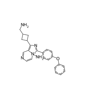 NCC1CC(C2=C3C=NC=C[N+]3(N)C(c3ccc(Oc4ccccc4)cc3)=N2)C1